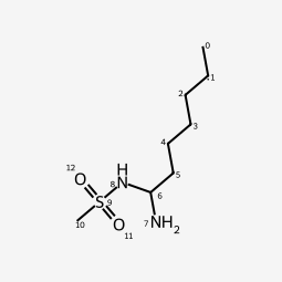 C[CH]CCCCC(N)NS(C)(=O)=O